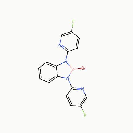 Fc1ccc(N2B(Br)N(c3ccc(F)cn3)c3ccccc32)nc1